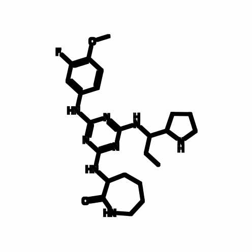 CCC(Nc1nc(Nc2ccc(OC)c(F)c2)nc(NC2CCCCNC2=O)n1)C1CCCN1